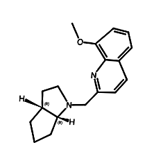 COc1cccc2ccc(CN3CC[C@H]4CCC[C@H]43)nc12